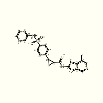 Cc1cncc2sc(NC(=O)C3CC3c3ccc(S(=O)(=O)Nc4cccnc4)cc3)nc12